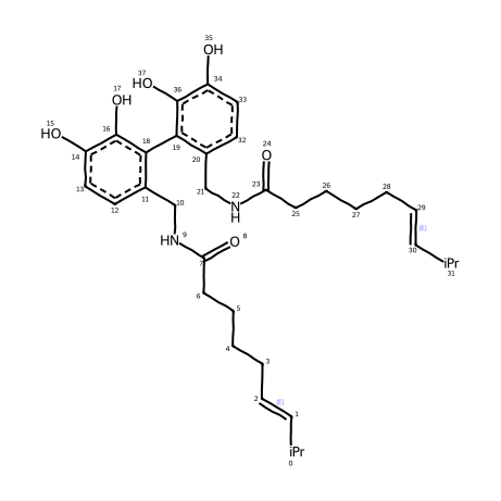 CC(C)/C=C/CCCCC(=O)NCc1ccc(O)c(O)c1-c1c(CNC(=O)CCCC/C=C/C(C)C)ccc(O)c1O